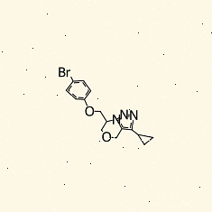 Brc1ccc(OCC2COCc3c(C4CC4)nnn32)cc1